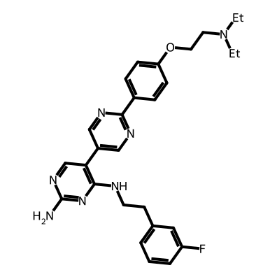 CCN(CC)CCOc1ccc(-c2ncc(-c3cnc(N)nc3NCCc3cccc(F)c3)cn2)cc1